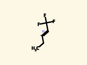 CC/[C]=C/C(F)(F)F